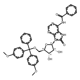 COc1ccc(C(OC[C@H]2O[C@@H](n3c(=O)[nH]c4c(NC(=O)c5ccccc5)ncnc43)[C@H](O)[C@@H]2O)(c2ccccc2)c2ccc(OC)cc2)cc1